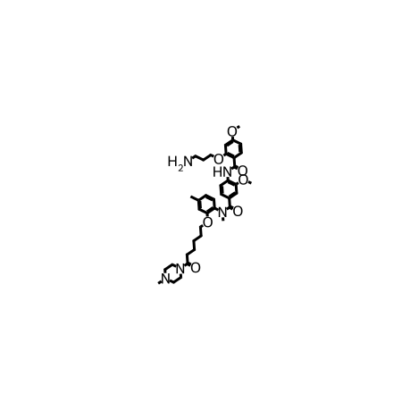 COc1ccc(C(=O)Nc2ccc(C(=O)N(C)c3ccc(C)cc3OCCCCCC(=O)N3CCN(C)CC3)cc2OC)c(OCCCN)c1